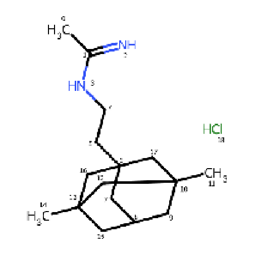 CC(=N)NCCC12CC3CC(C)(CC(C)(C3)C1)C2.Cl